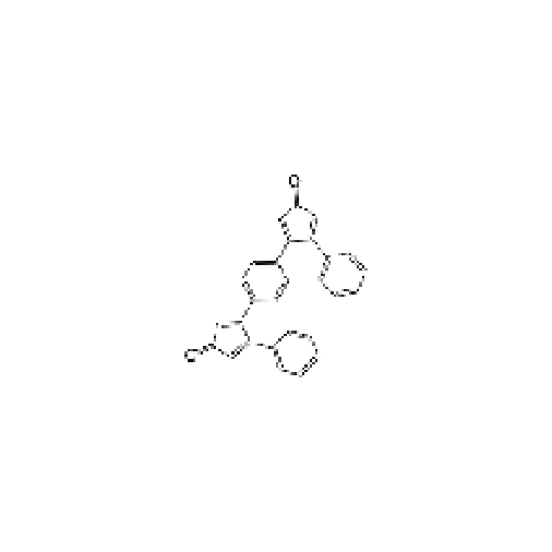 O=C1C=C(c2ccccc2)C(c2ccc(C3=CC(=O)C=C3c3ccccc3)cc2)=C1